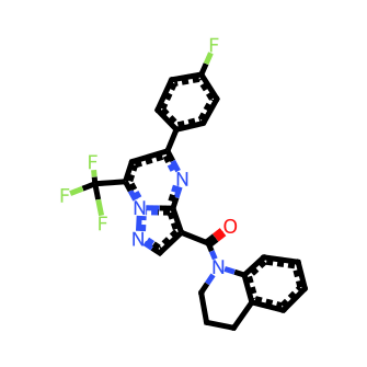 O=C(c1cnn2c(C(F)(F)F)cc(-c3ccc(F)cc3)nc12)N1CCCc2ccccc21